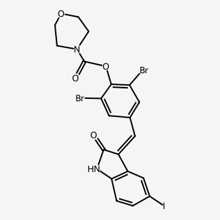 O=C1Nc2ccc(I)cc2/C1=C/c1cc(Br)c(OC(=O)N2CCOCC2)c(Br)c1